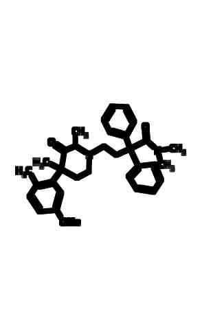 COc1ccc(C)c(C2(C)CCN(CCC(C(=O)N(C)C)(c3ccccc3)c3ccccc3)C(C)C2=O)c1